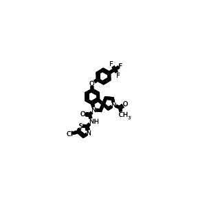 CC(=O)N1CCC2(C1)CN(C(=O)Nc1ncc(Cl)s1)c1ccc(Oc3ccc(C(F)(F)F)cc3)cc12